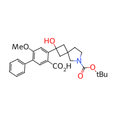 COc1cc(C2(O)CC3(CCN(C(=O)OC(C)(C)C)C3)C2)c(C(=O)O)cc1-c1ccccc1